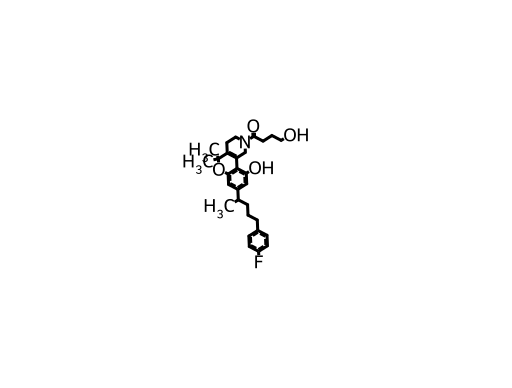 CC(CCCc1ccc(F)cc1)c1cc(O)c2c(c1)OC(C)(C)C1=C2CN(C(=O)CCCO)CC1